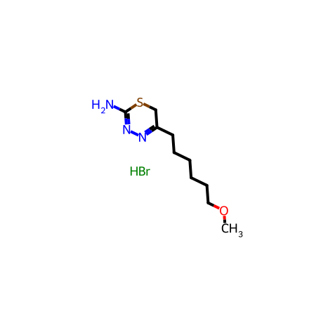 Br.COCCCCCCC1=NN=C(N)SC1